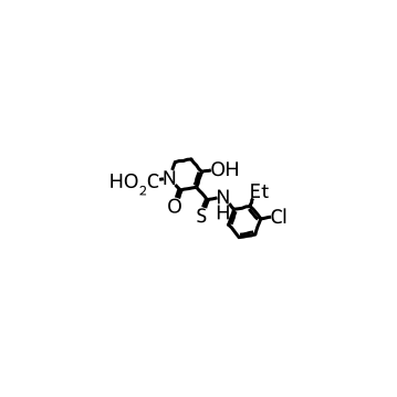 CCc1c(Cl)cccc1NC(=S)C1=C(O)CCN(C(=O)O)C1=O